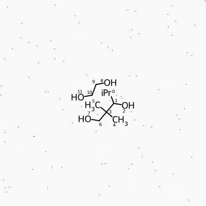 CC(C)C(O)C(C)(C)CO.OCCO